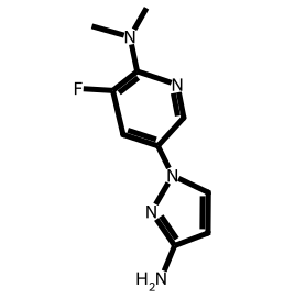 CN(C)c1ncc(-n2ccc(N)n2)cc1F